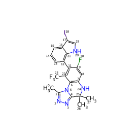 Cc1nnc2n1-c1c(cc(F)c(-c3cccc4c(I)c[nH]c34)c1C(F)(F)F)NC2(C)C